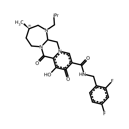 CC(C)CN1C[C@H](C)CCN2C(=O)c3c(O)c(=O)c(C(=O)NCc4ccc(F)cc4F)cn3CC12